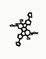 CCCCCCCCCCCCc1c2c(c(CCCCCCCCCCCC)c3c1-c1ccc(-c4cccs4)cc1C3=C(C#N)C#N)-c1ccc(-c3cccs3)cc1C2=C(C#N)C#N